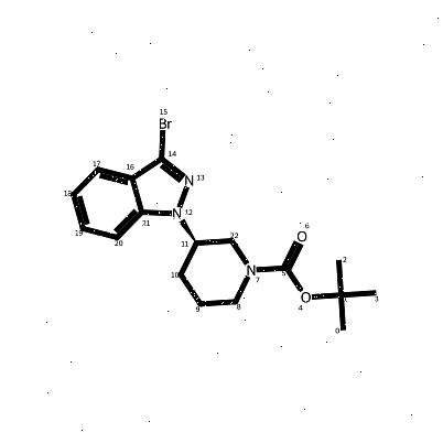 CC(C)(C)OC(=O)N1CCC[C@@H](n2nc(Br)c3ccccc32)C1